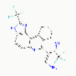 N=C(/C(=C\N)c1nc2ccc3[nH]c(C(F)(F)F)nc3c2c2c1CCCC2)C(F)(F)F